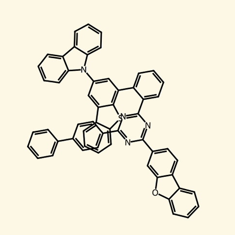 c1ccc(-c2ccc(-c3nc(-c4ccc5c(c4)oc4ccccc45)nc(-c4ccccc4-c4cc(-n5c6ccccc6c6ccccc65)cc5c4sc4ccccc45)n3)cc2)cc1